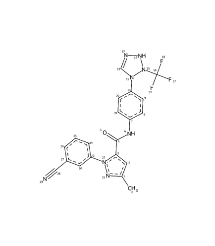 Cc1cc(C(=O)Nc2ccc(N3C=NNN3C(F)(F)F)cc2)n(-c2cccc(C#N)c2)n1